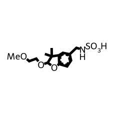 COCCOC1Oc2ccc(CNS(=O)(=O)O)cc2C1(C)C